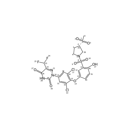 CS(=O)(=O)[C@H]1CCN(S(=O)(=O)c2cc(Oc3c(Cl)cc(-n4nc(C(F)F)c(=O)[nH]c4=O)cc3Cl)ccc2O)C1